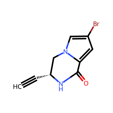 C#C[C@@H]1Cn2cc(Br)cc2C(=O)N1